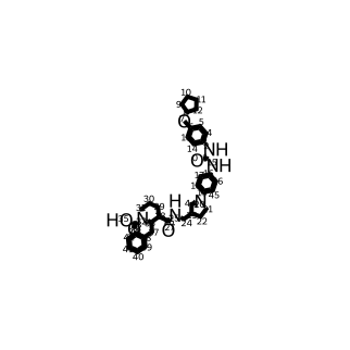 O=C(Nc1ccc(OC2CCCC2)cc1)Nc1ccc(N2CCC(CNC(=O)C3CCCN(C(=O)O)C3Cc3ccccc3)C2)cc1